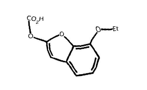 CCOc1cccc2cc(OC(=O)O)oc12